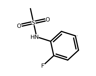 CS(=O)(=O)Nc1c[c]ccc1F